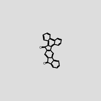 O=c1c2ccccc2c2cc3c(cc12)c(=O)c1c2ccccc2c2ccccc2c31